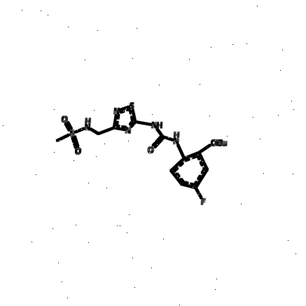 CC(C)COc1cc(F)ccc1NC(=O)Nc1nc(CNS(C)(=O)=O)ns1